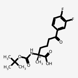 CC(C)(C)OC(=O)N[C@](C)(CCCC(=O)c1ccc(F)c(F)c1)C(=O)O